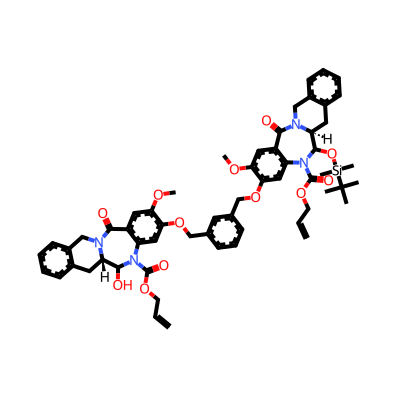 C=CCOC(=O)N1c2cc(OCc3cccc(COc4cc5c(cc4OC)C(=O)N4Cc6ccccc6C[C@H]4C(O[Si](C)(C)C(C)(C)C)N5C(=O)OCC=C)c3)c(OC)cc2C(=O)N2Cc3ccccc3C[C@H]2C1O